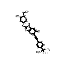 CC(C)(O)c1ccc(C#Cc2nc3nc(O[C@H]4CO[C@H](CO)[C@@H](O)C4)[nH]c3cc2Cl)cc1